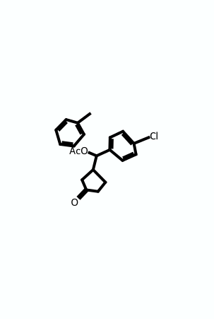 CC(=O)OC(c1ccc(Cl)cc1)C1CCC(=O)C1.Cc1ccccc1